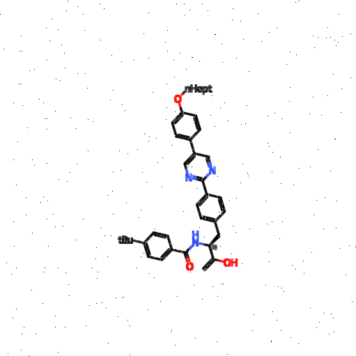 C=C(O)[C@H](Cc1ccc(-c2ncc(-c3ccc(OCCCCCCC)cc3)cn2)cc1)NC(=O)c1ccc(C(C)(C)C)cc1